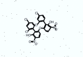 O=[N+]([O-])c1ccc(Oc2ccc([N+](=O)[O-])c(O)c2-c2ccc(Cl)cc2Cl)c(-c2ccc(Cl)cc2Cl)c1O